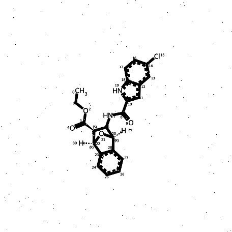 CCOC(=O)[C@H]1C(NC(=O)c2cc3cc(Cl)ccc3[nH]2)[C@@H]2O[C@H]1c1ccccc12